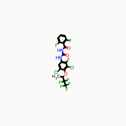 CC(Oc1c(Cl)cc(NC(=O)NC(=O)c2c(F)cccc2F)c(F)c1Cl)C(F)(F)C(F)(F)F